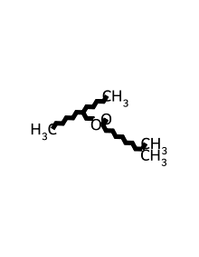 CCCCCCC(CCCCC)CCOC(=O)CCCCCCCC(C)C